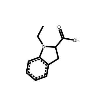 CCN1c2ccccc2CC1C(=O)O